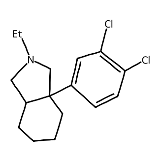 CCN1CC2CCCCC2(c2ccc(Cl)c(Cl)c2)C1